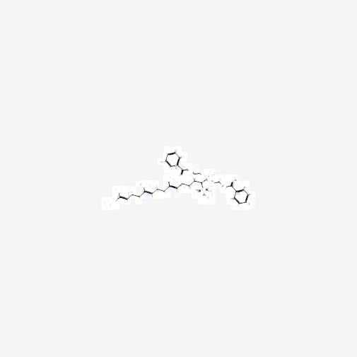 CC(C)=CCC/C(C)=C/CC/C(C)=C/CCCC(P(=O)(OCOC(=O)c1ccccc1)OCOC(=O)c1ccccc1)S(=O)(=O)O